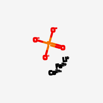 O=P([O-])([O-])[O-].[Co+2].[Fe+2].[Li+]